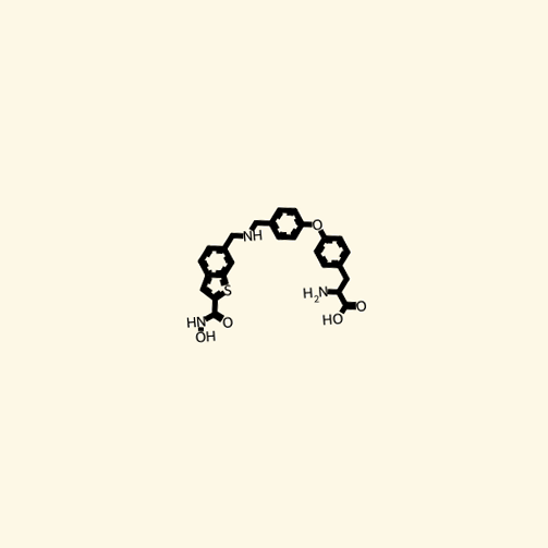 NC(Cc1ccc(Oc2ccc(CNCc3ccc4cc(C(=O)NO)sc4c3)cc2)cc1)C(=O)O